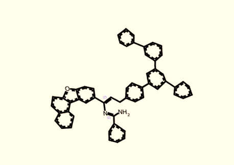 N/C(=N\C(=C/Cc1ccc(-c2cc(-c3ccccc3)cc(-c3cccc(-c4ccccc4)c3)c2)cc1)c1ccc2oc3ccc4ccccc4c3c2c1)c1ccccc1